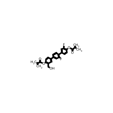 C=C(C)C(=O)Oc1ccc(-c2ccc(-c3ccc(OC(=O)C(=C)C)c(CO)c3)cc2F)cc1F